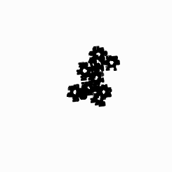 c1ccc(-c2nc(-n3c4ccccc4c4c5c6cc7c(cc6n(-c6cccc8ccccc68)c5ccc43)oc3ccccc37)nc3ccccc23)cc1